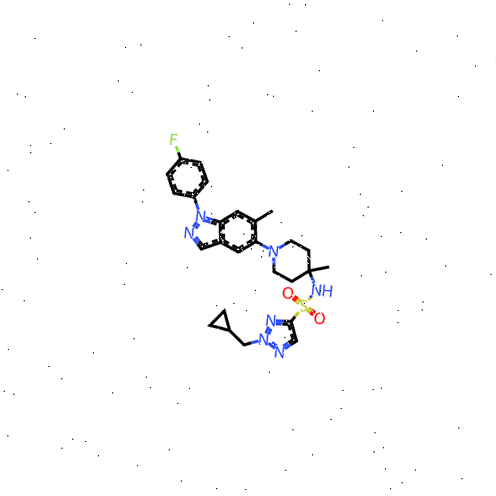 Cc1cc2c(cnn2-c2ccc(F)cc2)cc1N1CCC(C)(NS(=O)(=O)c2cnn(CC3CC3)n2)CC1